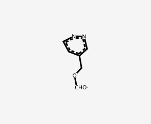 O=[C]OCc1ccnnc1